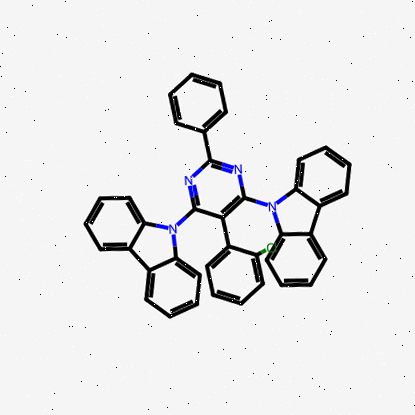 Clc1ccccc1-c1c(-n2c3ccccc3c3ccccc32)nc(-c2ccccc2)nc1-n1c2ccccc2c2ccccc21